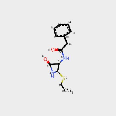 CCS[C@H]1NC(=O)[C@H]1NC(=O)Cc1ccccc1